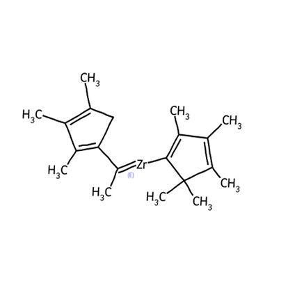 CC1=C(C)C(C)=C(/[C](C)=[Zr]/[C]2=C(C)C(C)=C(C)C2(C)C)C1